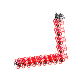 O=[Si]([O-])OP(=O)(O)O.O=[Si]([O-])OP(=O)(O)O.O=[Si]([O-])OP(=O)(O)O.O=[Si]([O-])OP(=O)(O)O.O=[Si]([O-])OP(=O)(O)O.O=[Si]([O-])OP(=O)(O)O.O=[Si]([O-])OP(=O)(O)O.O=[Si]([O-])OP(=O)(O)O.O=[Si]([O-])OP(=O)(O)O.O=[Si]([O-])OP(=O)(O)O.O=[Si]([O-])OP(=O)(O)O.O=[Si]([O-])OP(=O)(O)O.O=[Si]([O-])OP(=O)(O)O.[Al+3].[Ba+2].[Mg+2].[Zn+2].[Zr+4]